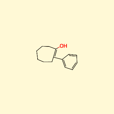 OC1=C(c2ccccc2)CCCCCC1